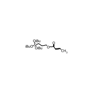 CC=CC(=O)OCCC[Si](OCC(C)C)(OCC(C)C)OCC(C)C